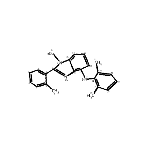 CCCCn1c(-c2ccccc2C)nc2c(Nc3c(C)cccc3C)cccc21